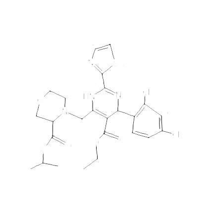 CCOC(=O)C1=C(CN2CCOCC2C(=O)OC(C)C)NC(c2nccs2)=NC1c1ccc(Cl)cc1Cl